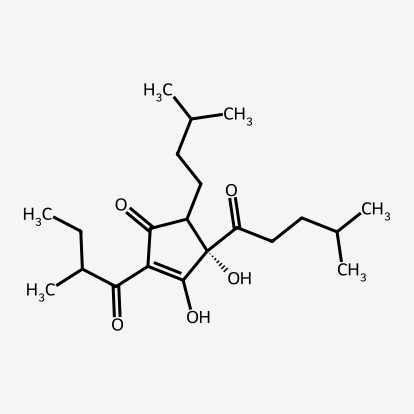 CCC(C)C(=O)C1=C(O)[C@](O)(C(=O)CCC(C)C)C(CCC(C)C)C1=O